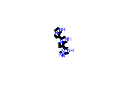 c1nnc2n1C(C1CCN3C(C4CCN5CCNCC45)CNCC13)CNC2